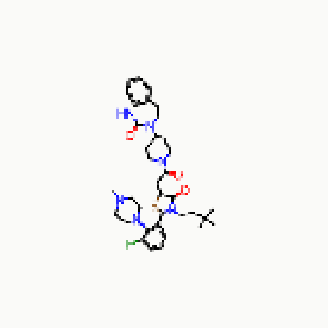 CN1CCN(c2c(F)cccc2C2SC(CC(=O)N3CCC(N4CCc5ccccc5NC4=O)CC3)C(=O)N2CCC(C)(C)C)CC1